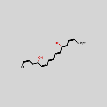 CC/C=C\C[C@H](O)\C=C/C=C/C=C/[C@H](O)C/C=C\CCCCCCC